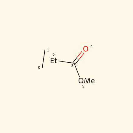 CC.CCC(=O)OC